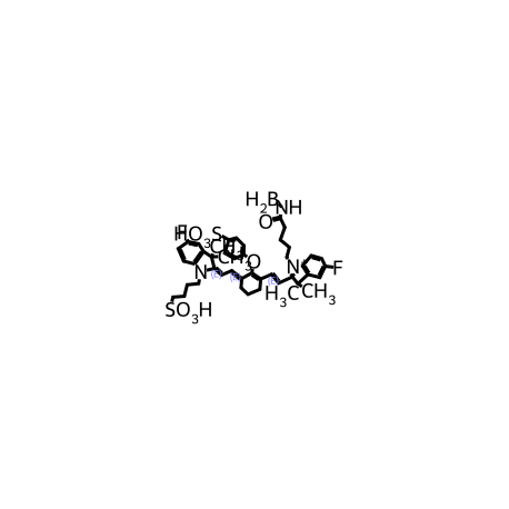 BNC(=O)CCCC[N+]1=C(/C=C/C2=C(Oc3ccc(S(=O)(=O)O)cc3)C(=C/C=C3/N(CCCCS(=O)(=O)O)c4ccc(F)cc4C3(C)C)/CCC2)C(C)(C)c2cc(F)ccc21